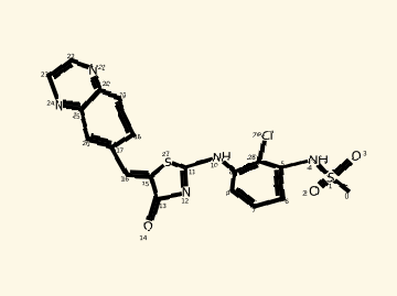 CS(=O)(=O)Nc1cccc(NC2=NC(=O)/C(=C/c3ccc4nccnc4c3)S2)c1Cl